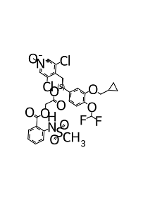 CS(=O)(=O)Nc1ccccc1C(=O)OCC(=O)O[C@@H](Cc1c(Cl)c[n+]([O-])cc1Cl)c1ccc(OC(F)F)c(OCC2CC2)c1